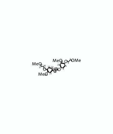 COCCOc1ccc(OBOc2ccc(OCCOC)c(OC)c2)cc1OC